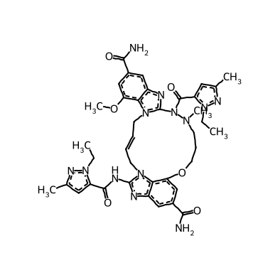 CCn1nc(C)cc1C(=O)Nc1nc2cc(C(N)=O)cc3c2n1C/C=C/Cn1c(nc2cc(C(N)=O)cc(OC)c21)N(C(=O)c1cc(C)nn1CC)N(C)CCCO3